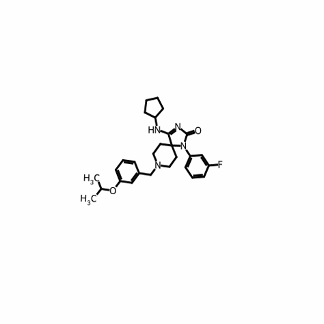 CC(C)Oc1cccc(CN2CCC3(CC2)C(NC2CCCC2)=NC(=O)N3c2cccc(F)c2)c1